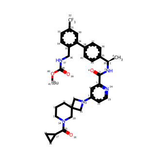 C[C@@H](NC(=O)c1cc(N2CC3(CCCN(C(=O)C4CC4)C3)C2)ccn1)c1ccc(-c2cc(C(F)(F)F)ccc2CNC(=O)OC(C)(C)C)cc1